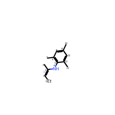 CC/C=C(/C)Nc1c(C)cc(C)cc1C